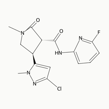 CN1C[C@H](c2cc(Cl)nn2C)[C@@H](C(=O)Nc2cccc(F)n2)C1=O